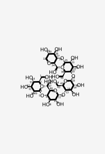 OC[C@H]1O[C@H](O[C@H]2[C@H](O)[C@@H](O)[C@@H](O[C@H]3[C@H](O)[C@@H](O)[C@@H](O[C@H]4[C@H](O)[C@@H](O)[C@@H](O[C@H]5[C@H](O)[C@@H](O)[CH]O[C@@H]5CO)O[C@@H]4CO)O[C@@H]3CO)O[C@@H]2CO)[C@H](O)[C@@H](O)[C@@H]1O